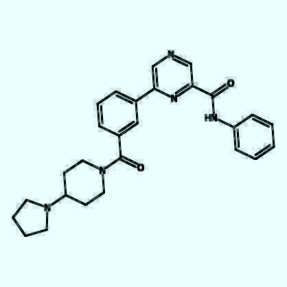 O=C(Nc1ccccc1)c1cncc(-c2cccc(C(=O)N3CCC(N4CCCC4)CC3)c2)n1